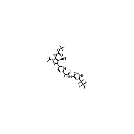 CC(C(=O)N/C(O)=C/C(=N)C(C)(C)C(F)(F)F)c1ccc(-c2nn(C(C)C)c(NC(=O)OC(C)(C)C)c2C#N)cn1